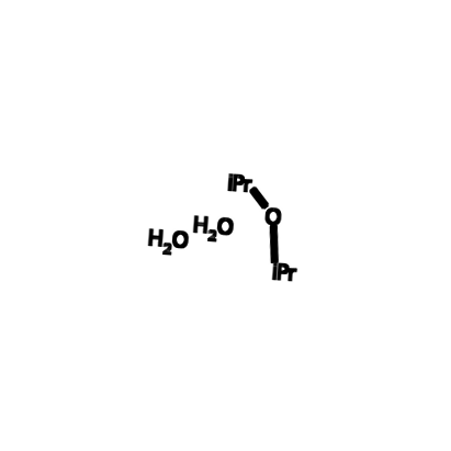 CC(C)OC(C)C.O.O